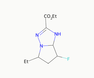 CCOC(=O)C1=NN2C(CC)CC(F)C2N1